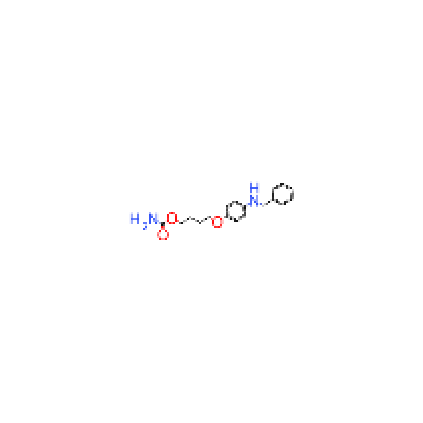 NC(=O)OCCCCOc1ccc(NCc2ccccc2)cc1